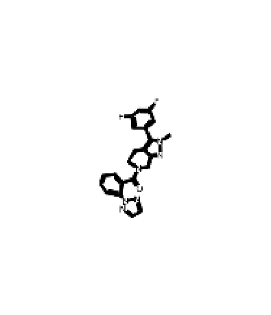 Cn1nc2c(c1-c1cc(F)cc(F)c1)CCN(C(=O)c1ccccc1-n1nccn1)C2